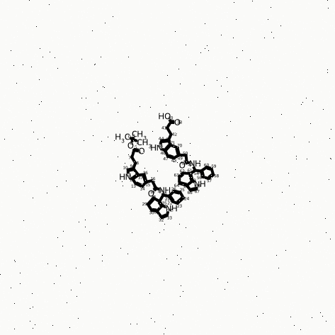 CC(C)(C)OC(=O)CCc1c[nH]c2ccc(CC(=O)NC(c3ccccc3)c3cccc4cc[nH]c34)cc12.O=C(O)CCc1c[nH]c2ccc(CC(=O)NC(c3ccccc3)c3cccc4cc[nH]c34)cc12